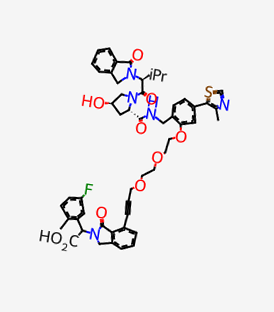 Cc1ccc(F)cc1C(C(=O)O)N1Cc2cccc(C#CCOCCOCCOc3cc(-c4scnc4C)ccc3CNC(=O)[C@@H]3C[C@@H](O)CN3C(=O)[C@H](C(C)C)N3Cc4ccccc4C3=O)c2C1=O